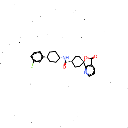 O=C1O[C@]2(CC[C@@H](C(=O)N[C@H]3CC[C@H](c4cccc(F)c4)CC3)CC2)c2ncccc21